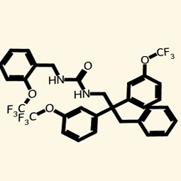 O=C(NCc1ccccc1OC(F)(F)F)NCC(Cc1ccccc1)(c1cccc(OC(F)(F)F)c1)c1cccc(OC(F)(F)F)c1